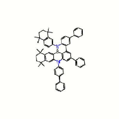 CC1(C)CCC(C)(C)c2cc(N3B4c5cc6c(cc5N(c5ccc(-c7ccccc7)cc5)c5cc(-c7ccccc7)cc(c54)-c4cc(-c5ccccc5)ccc43)C(C)(C)CCC6(C)C)ccc21